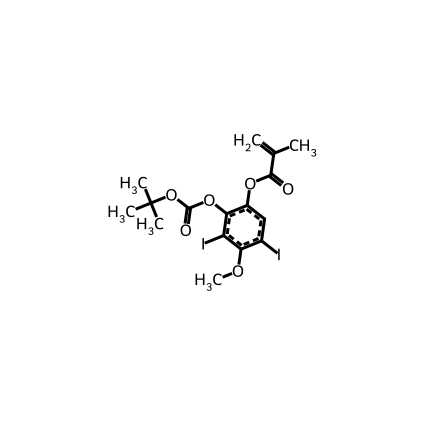 C=C(C)C(=O)Oc1cc(I)c(OC)c(I)c1OC(=O)OC(C)(C)C